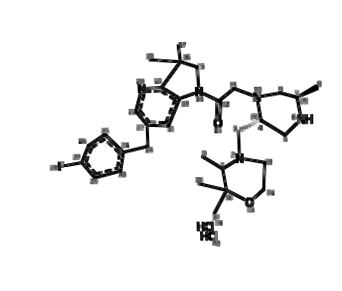 CC1N(C[C@H]2CN[C@H](C)CN2CC(=O)N2CC(C)(C)c3ncc(Cc4ccc(F)cc4)cc32)CCOC1(C)C.Cl.Cl